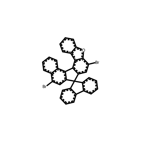 Brc1cc2c(c3ccccc13)-c1c(cc(Br)c3oc4ccccc4c13)C21c2ccccc2-c2ccccc21